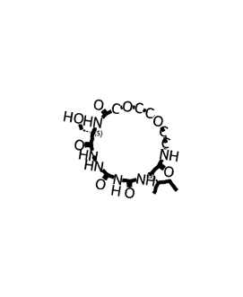 CCC(C)[C@@H]1NC(=O)NC(=O)NNC(=O)[C@H](CO)NC(=O)COCCOCCNC1=O